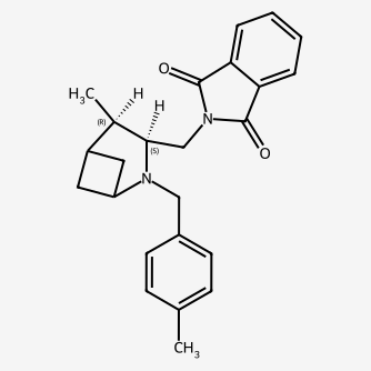 Cc1ccc(CN2C3CC(C3)[C@@H](C)[C@H]2CN2C(=O)c3ccccc3C2=O)cc1